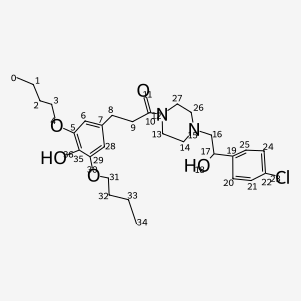 CCCCOc1cc(CCC(=O)N2CCN(CC(O)c3ccc(Cl)cc3)CC2)cc(OCCCC)c1O